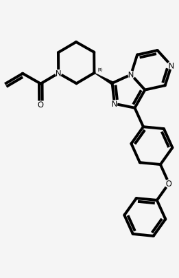 C=CC(=O)N1CCC[C@@H](c2nc(C3=CCC(Oc4ccccc4)C=C3)c3cnccn23)C1